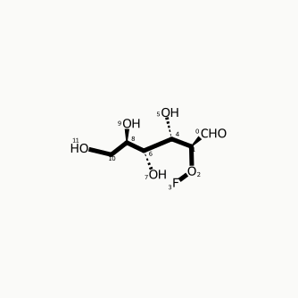 O=C[C@@H](OF)[C@@H](O)[C@H](O)[C@H](O)CO